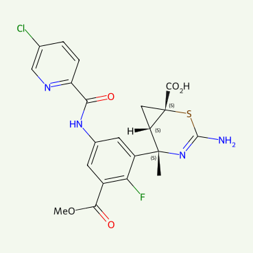 COC(=O)c1cc(NC(=O)c2ccc(Cl)cn2)cc([C@@]2(C)N=C(N)S[C@@]3(C(=O)O)C[C@H]32)c1F